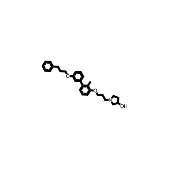 Cc1c(OCCCN2CCC(O)C2)cccc1-c1cccc(OCCCc2ccccc2)c1